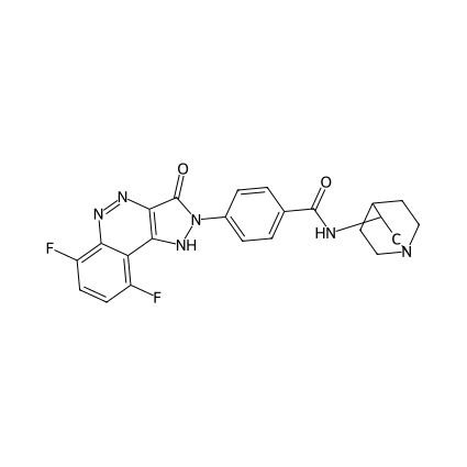 O=C(NC1CN2CCC1CC2)c1ccc(-n2[nH]c3c(nnc4c(F)ccc(F)c43)c2=O)cc1